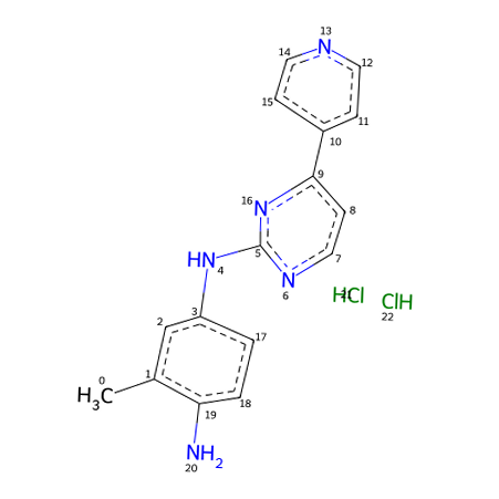 Cc1cc(Nc2nccc(-c3ccncc3)n2)ccc1N.Cl.Cl